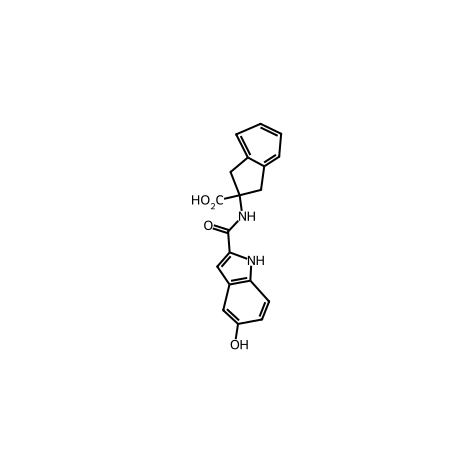 O=C(NC1(C(=O)O)Cc2ccccc2C1)c1cc2cc(O)ccc2[nH]1